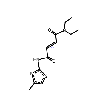 CCN(CC)C(=O)/C=C/C(=O)Nc1nc(C)cs1